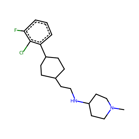 CN1CCC(NCCC2CCC(c3cccc(F)c3Cl)CC2)CC1